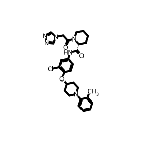 Cc1ccccc1N1CCC(Oc2ccc(NC(=O)[C@H]3CCCCN3C(=O)Cn3cnnc3)cc2Cl)CC1